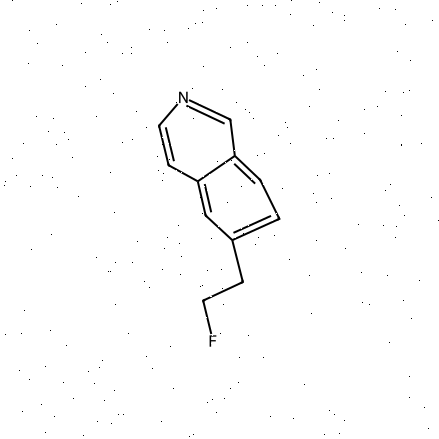 FCCc1ccc2cnccc2c1